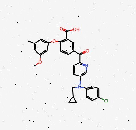 COc1cc(C)cc(Oc2ccc(C(=O)c3ccc(N(CC4CC4)c4ccc(Cl)cc4)cn3)cc2C(=O)O)c1